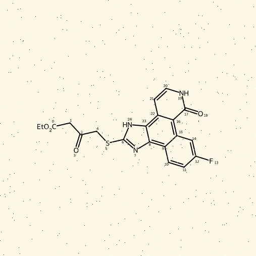 CCOC(=O)CC(=O)CSc1nc2c3ccc(F)cc3c3c(=O)[nH]ccc3c2[nH]1